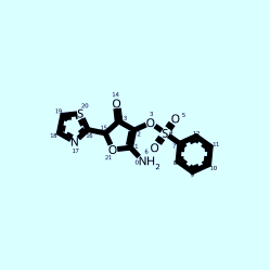 NC1=C(OS(=O)(=O)c2ccccc2)C(=O)C(c2nccs2)O1